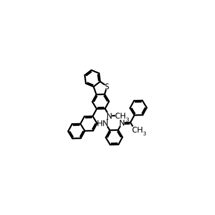 C/C(=N\c1ccccc1NN(C)c1cc2sc3ccccc3c2cc1-c1ccc2ccccc2c1)c1ccccc1